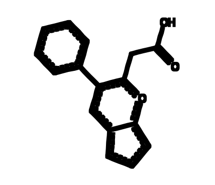 O=C(O)Cc1oc2cccc-2cc1-c1ccccc1